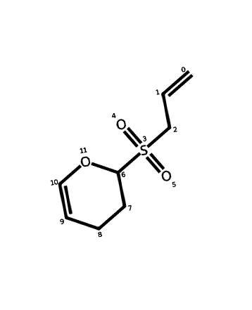 C=CCS(=O)(=O)C1CCC=CO1